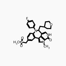 Cn1cc2c3c(c[nH]c(=O)c31)C(CC1CCOCC1)N(c1ccc(F)cc1)c1ccc(CS(C)(=O)=O)cc1-2